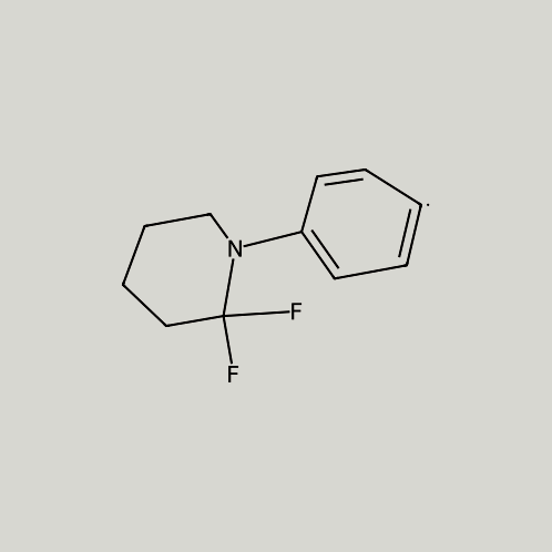 FC1(F)CCCCN1c1cc[c]cc1